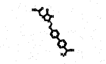 N=C(N)c1ccc(-c2ccc(OC[C@@H]3C[C@@H](CC(=O)O)C(=O)N3)cc2)cc1